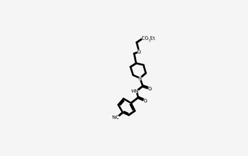 CCOC(=O)COCC1CCN(C(=O)NC(=O)c2ccc(C#N)cc2)CC1